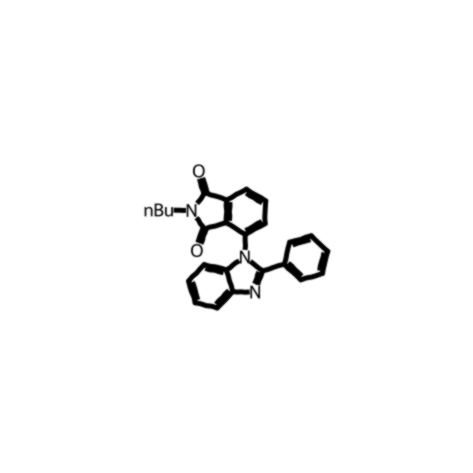 CCCCN1C(=O)c2cccc(-n3c(-c4ccccc4)nc4ccccc43)c2C1=O